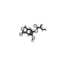 CCC(C)C(=O)OC1C2CC(C1OC)C1C(=O)OCC21